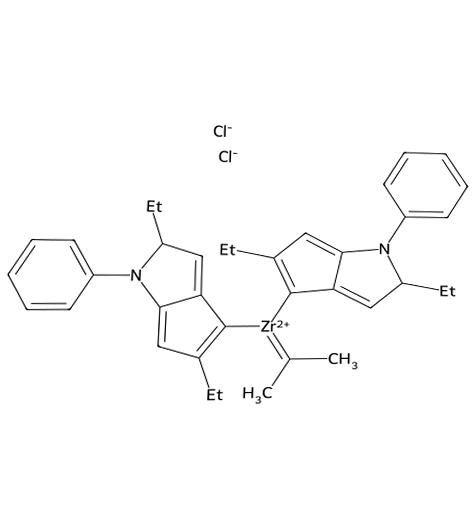 CCC1=[C]([Zr+2]([C]2=C(CC)C=C3C2=CC(CC)N3c2ccccc2)=[C](C)C)C2=CC(CC)N(c3ccccc3)C2=C1.[Cl-].[Cl-]